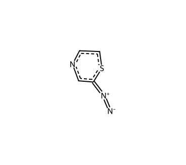 [N-]=[N+]=c1cnccs1